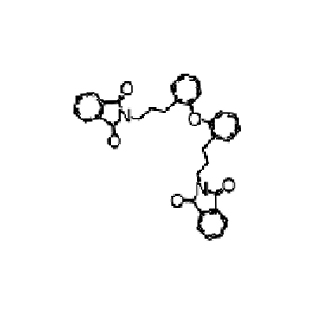 O=C1c2ccccc2C(=O)N1CCCc1ccccc1Oc1ccccc1CCCN1C(=O)c2ccccc2C1=O